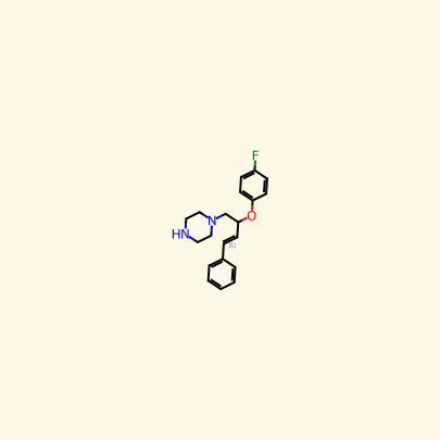 Fc1ccc(OC(/C=C/c2ccccc2)CN2CCNCC2)cc1